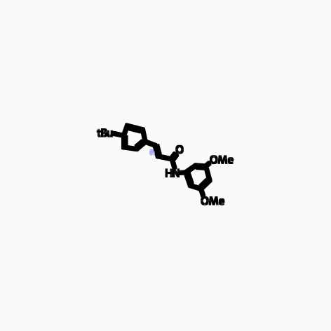 COc1cc(NC(=O)/C=C/c2ccc(C(C)(C)C)cc2)cc(OC)c1